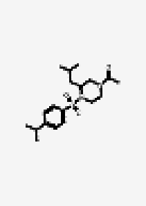 CC(=O)N1CCN(S(=O)(=O)c2ccc(C(C)C)cc2)C(CC(C)C)C1